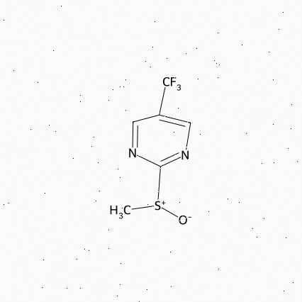 C[S+]([O-])c1ncc(C(F)(F)F)cn1